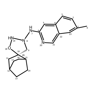 Cc1ccc2cc(NN3C[C@]4(CC5CCC4CC5)ON3)ncc2c1